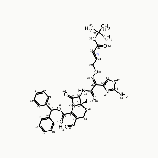 C=CC1=C(C(=O)OC(c2ccccc2)c2ccccc2)N2C(=O)C(NC(=O)C(=NOC/C=C/C(=O)OC(C)(C)C)c3csc(N)n3)[C@@H]2SC1